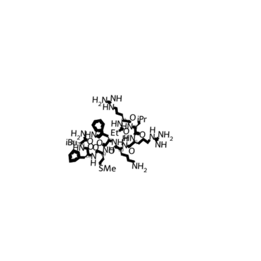 CCC(=O)N[C@@H](CCCNC(=N)N)C(=O)N[C@@H](CC(C)C)C(=O)N[C@@H](CCCNC(=N)N)C(=O)N[C@@H](CCCCN)C(=O)N[C@@H](Cc1c[nH]c2ccccc12)C(=O)N[C@@H](CCSC)C(=O)N[C@@H](Cc1ccccc1)C(=O)N[C@H](C(N)=O)[C@@H](C)CC